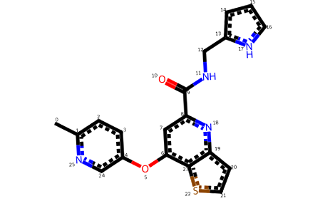 Cc1ccc(Oc2cc(C(=O)NCc3ccc[nH]3)nc3ccsc23)cn1